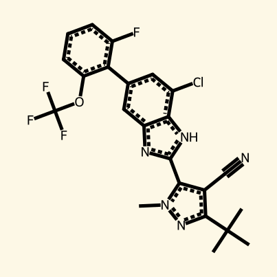 Cn1nc(C(C)(C)C)c(C#N)c1-c1nc2cc(-c3c(F)cccc3OC(F)(F)F)cc(Cl)c2[nH]1